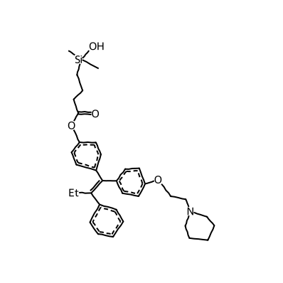 CC/C(=C(/c1ccc(OCCN2CCCCC2)cc1)c1ccc(OC(=O)CCC[Si](C)(C)O)cc1)c1ccccc1